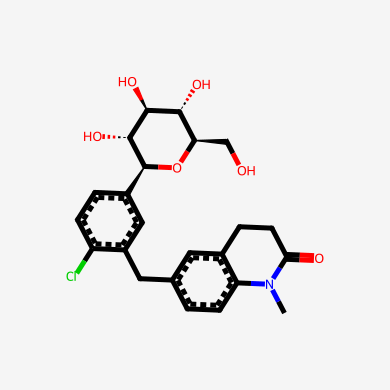 CN1C(=O)CCc2cc(Cc3cc([C@@H]4O[C@H](CO)[C@@H](O)[C@H](O)[C@H]4O)ccc3Cl)ccc21